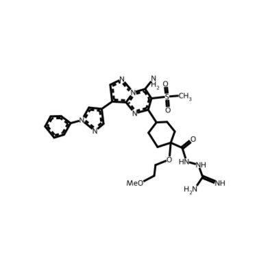 COCCOC1(C(=O)NNC(=N)N)CCC(c2nc3c(-c4cnn(-c5ccccc5)c4)cnn3c(N)c2S(C)(=O)=O)CC1